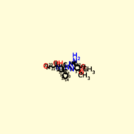 COc1cc2nc(N(C)CC3(c4ccccc4)CCN(C(O)CCC=O)CC3)nc(N)c2cc1OC